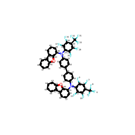 Fc1c(F)c(C(F)(F)F)c(F)c(F)c1N(c1ccc(-c2ccc(N(c3c(F)c(F)c(C(F)(F)F)c(F)c3F)c3cccc4c3oc3ccccc34)cc2)cc1)c1cccc2c1oc1ccccc12